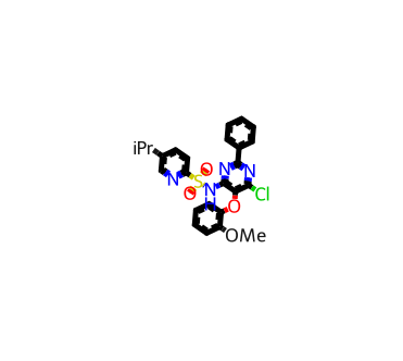 COc1ccccc1Oc1c(Cl)nc(-c2ccccc2)nc1NS(=O)(=O)c1ccc(C(C)C)cn1